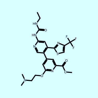 CCNC(=O)Nc1cc(-c2nc(C(F)(F)F)cs2)c(-c2cc(OCCN(C)C)nc(C(=O)OC)c2)cn1